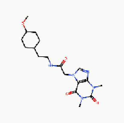 COC1CCC(CCNC(=O)Cn2cnc3c2c(=O)n(C)c(=O)n3C)CC1